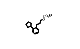 CCOC(=O)OCCCc1ccccc1C1CCCC1